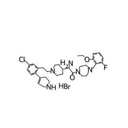 Br.CCOc1cccc(F)c1CN1CCN(C(=O)C(N)C2CCN(CCc3cc(Cl)ccc3C3=CCNCC3)CC2)CC1